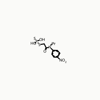 CC(C)N(C(=O)CSP(O)(O)=S)c1ccc([N+](=O)[O-])cc1